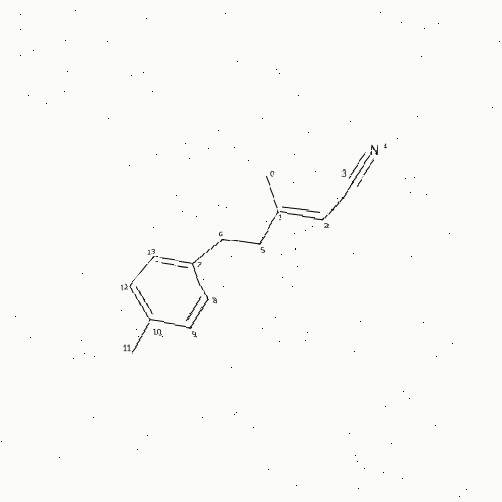 C/C(=C\C#N)CCc1ccc(C)cc1